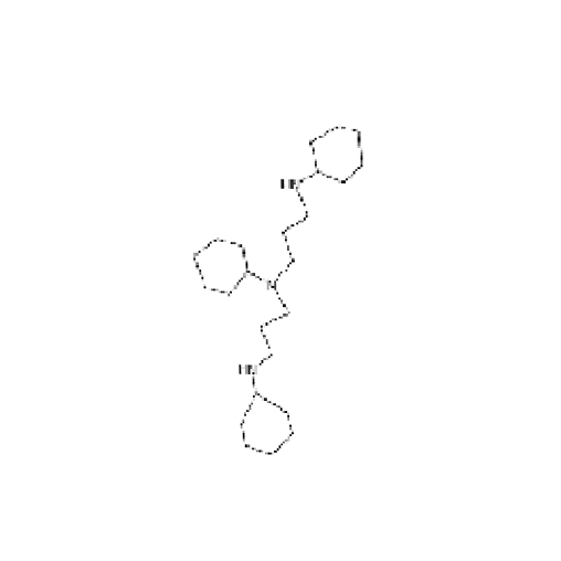 C1CCC(NCCCN(CCCNC2CCCCC2)C2CCCCC2)CC1